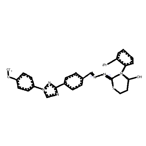 CC(C)c1ccccc1N1/C(=N/N=C/c2ccc(-c3ncn(-c4ccc(OC(F)(F)F)cc4)n3)cc2)SCCC1O